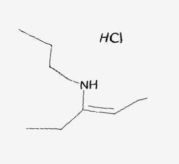 CC=C(CC)NCCC.Cl